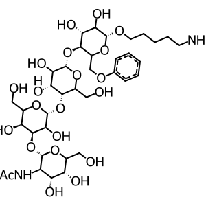 CC(=O)NC1[C@H](O[C@@H]2C(O)[C@@H](O[C@H]3C(CO)O[C@@H](O[C@@H]4C(COc5ccccc5)O[C@@H](OCCCCCN)C(O)[C@H]4O)C(O)[C@H]3O)OC(CO)[C@@H]2O)OC(CO)[C@H](O)[C@@H]1O